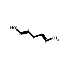 C/C=C/C/C=C/O